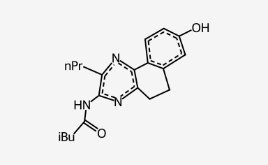 CCCc1nc2c(nc1NC(=O)C(C)CC)CCc1cc(O)ccc1-2